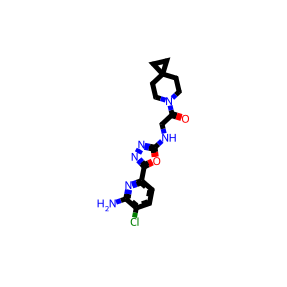 Nc1nc(-c2nnc(NCC(=O)N3CCC4(CC3)CC4)o2)ccc1Cl